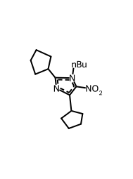 CCCCn1c(C2CCCC2)nc(C2CCCC2)c1[N+](=O)[O-]